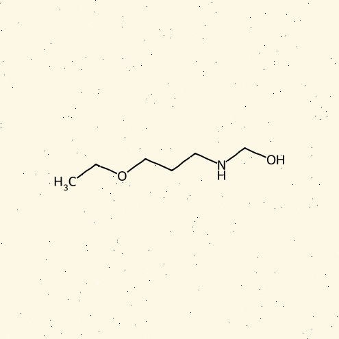 CCOCCCNCO